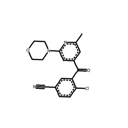 Cc1cc(C(=O)c2cc(C#N)ccc2Cl)cc(N2CCOCC2)n1